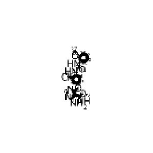 COC(=N)c1c(N)ncnc1Oc1ccc(NC(=O)Nc2ccccc2OC)c(Cl)c1